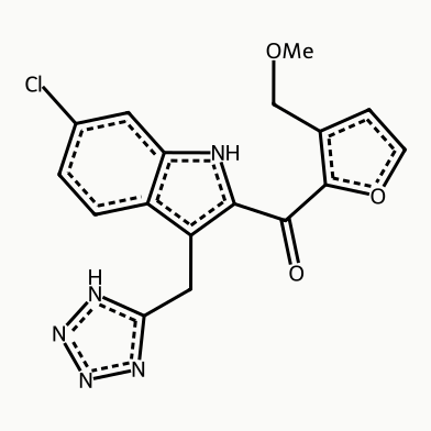 COCc1ccoc1C(=O)c1[nH]c2cc(Cl)ccc2c1Cc1nnn[nH]1